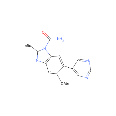 CCCCc1nc2cc(OC)c(-c3cncnc3)cc2n1C(N)=O